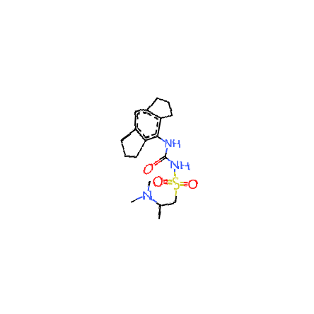 CC(CS(=O)(=O)NC(=O)Nc1c2c(cc3c1CCC3)CCC2)N(C)C